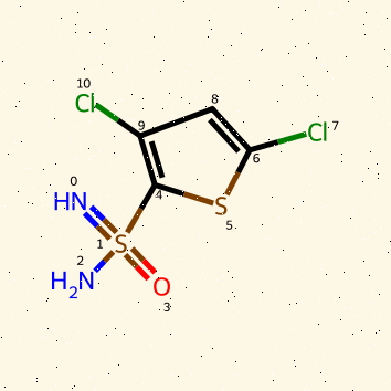 N=S(N)(=O)c1sc(Cl)cc1Cl